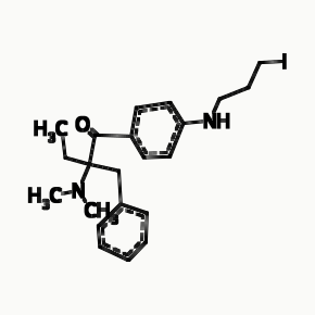 CCC(Cc1ccccc1)(C(=O)c1ccc(NCCCI)cc1)N(C)C